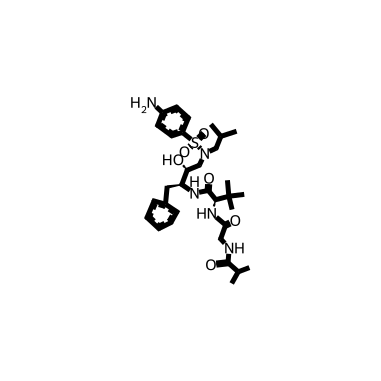 CC(C)CN(C[C@@H](O)[C@H](Cc1ccccc1)NC(=O)[C@@H](NC(=O)CNC(=O)C(C)C)C(C)(C)C)S(=O)(=O)c1ccc(N)cc1